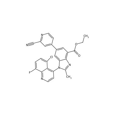 CCOC(=O)c1cc(-c2ccnc(C#N)c2)cc2c1nc(C)n2-c1ccnc2c(F)ccc(Cl)c12